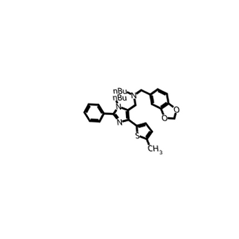 CCCCN(Cc1ccc2c(c1)OCO2)Cc1c(-c2ccc(C)s2)nc(-c2ccccc2)n1CCCC